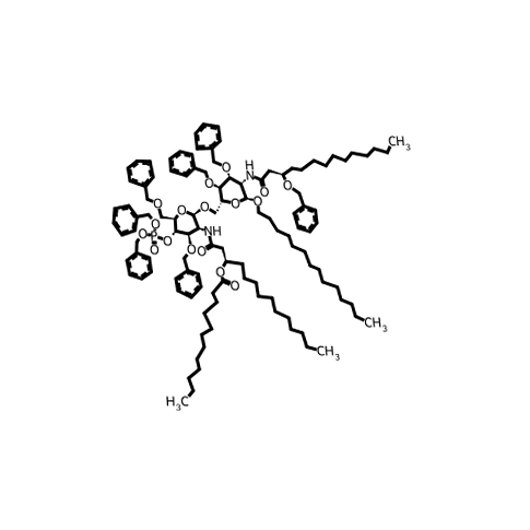 CCCCCCCCCCCCCCO[C@H]1O[C@H](CO[C@@H]2O[C@H](COCc3ccccc3)[C@@H](OP(=O)(OCc3ccccc3)OCc3ccccc3)[C@H](OCc3ccccc3)[C@@H]2NC(=O)C[C@@H](CCCCCCCCCCC)OC(=O)CCCCCCCCCCC)[C@@H](OCc2ccccc2)[C@H](OCc2ccccc2)[C@@H]1NC(=O)C[C@@H](CCCCCCCCCCC)OCc1ccccc1